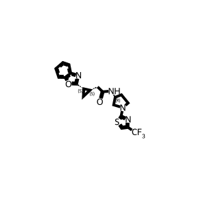 O=C(C[C@@H]1C[C@@H]1c1nc2ccccc2o1)N[C@@H]1CCN(c2nc(C(F)(F)F)cs2)C1